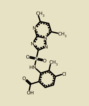 Cc1cc(C)n2nc(S(=O)(=O)Nc3c(C(=O)O)ccc(Cl)c3C)nc2n1